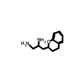 NCC(N)CC1CCc2ccccc2O1